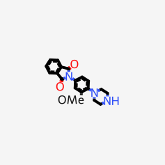 COc1cc(N2C(=O)c3ccccc3C2=O)ccc1N1CCNCC1